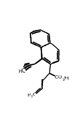 C#Cc1c(C(CC=C)C(=O)O)ccc2ccccc12